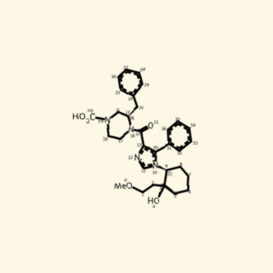 COCCC1(O)CCCC[C@@H]1n1cnc(C(=O)N2CCN(C(=O)O)C[C@H]2Cc2ccccc2)c1-c1ccccc1